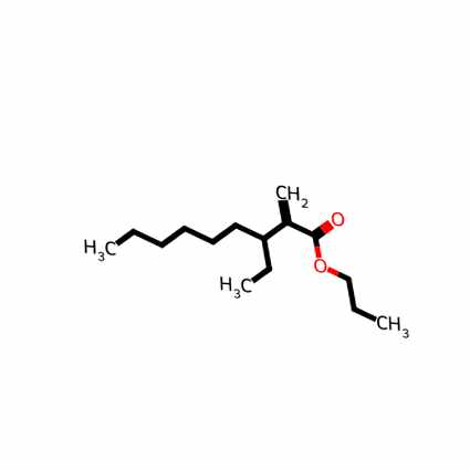 C=C(C(=O)OCCC)C(CC)CCCCCC